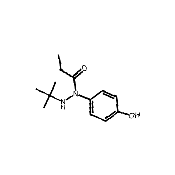 CCC(=O)N(NC(C)(C)C)c1ccc(O)cc1